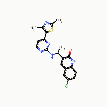 Cc1nc(C)c(-c2ccnc(N[C@@H](C)c3cc4cc(Cl)ccc4[nH]c3=O)n2)s1